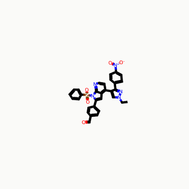 CCn1cc(-c2ccnc3c2cc(-c2ccc(C=O)cc2)n3S(=O)(=O)c2ccccc2)c(-c2ccc([N+](=O)[O-])cc2)n1